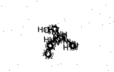 CC(C)(O)c1cccc(Nc2nc(Nc3ccc(N4CCCCC4)cc3)ncc2C(=O)NCc2cccnc2)n1